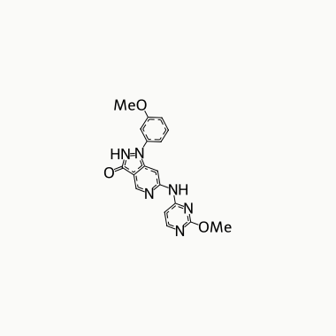 COc1cccc(-n2[nH]c(=O)c3cnc(Nc4ccnc(OC)n4)cc32)c1